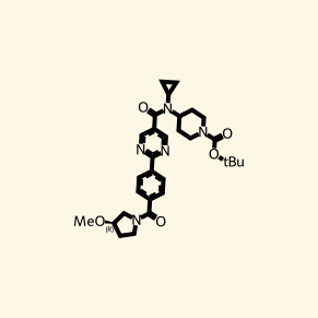 CO[C@@H]1CCN(C(=O)c2ccc(-c3ncc(C(=O)N(C4CC4)C4CCN(C(=O)OC(C)(C)C)CC4)cn3)cc2)C1